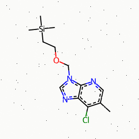 Cc1cnc2c(ncn2COCC[Si](C)(C)C)c1Cl